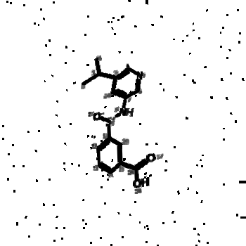 CC(C)c1cncc(N[S+]([O-])c2cccc(C(=O)O)c2)c1